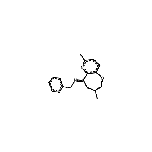 Cc1ccc2c(n1)C(=NCc1ccccc1)CC(C)CO2